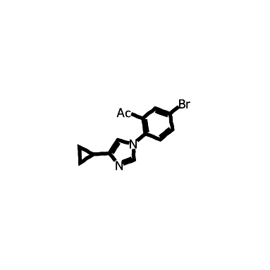 CC(=O)c1cc(Br)ccc1-n1cnc(C2CC2)c1